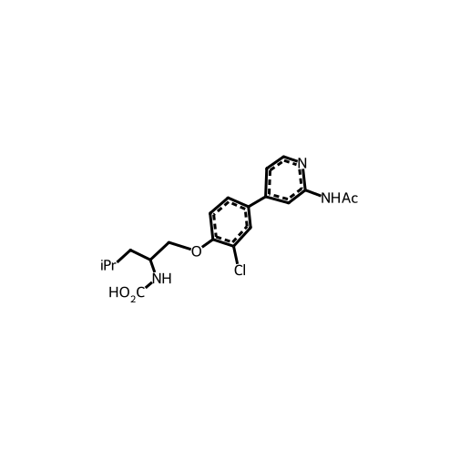 CC(=O)Nc1cc(-c2ccc(OCC(CC(C)C)NC(=O)O)c(Cl)c2)ccn1